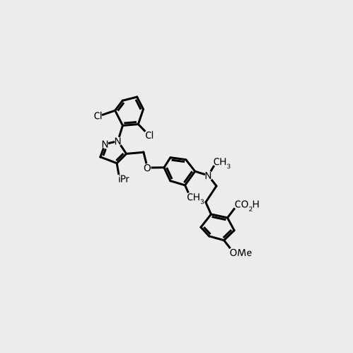 COc1ccc(CCN(C)c2ccc(OCc3c(C(C)C)cnn3-c3c(Cl)cccc3Cl)cc2C)c(C(=O)O)c1